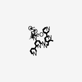 COc1ccncc1-c1cc2c(cnn2-c2cc(N3C[C@H](CS(C)(=O)=O)[C@H]3C)cc(-c3cccnc3)n2)c(C)n1